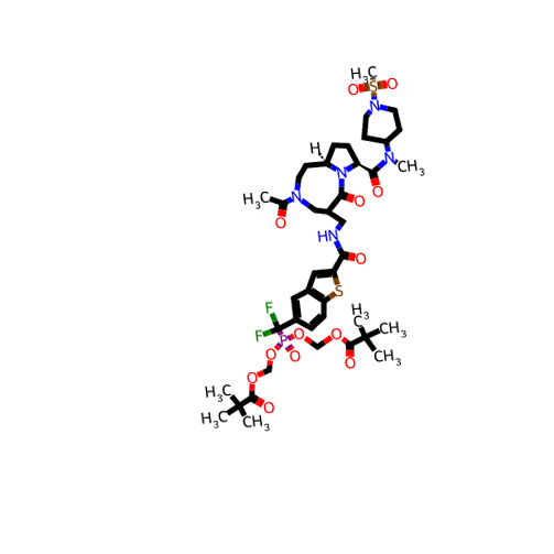 CC(=O)N1CC[C@H]2CC[C@@H](C(=O)N(C)C3CCN(S(C)(=O)=O)CC3)N2C(=O)C(CNC(=O)c2cc3cc(C(F)(F)P(=O)(OCOC(=O)C(C)(C)C)OCOC(=O)C(C)(C)C)ccc3s2)C1